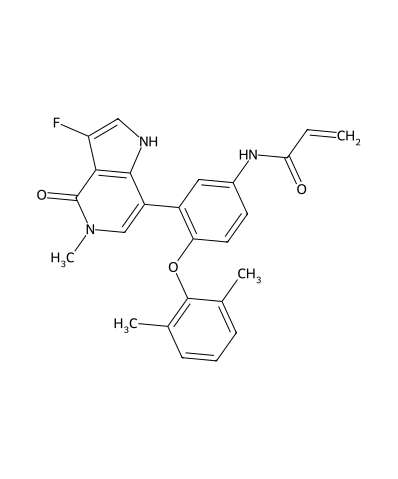 C=CC(=O)Nc1ccc(Oc2c(C)cccc2C)c(-c2cn(C)c(=O)c3c(F)c[nH]c23)c1